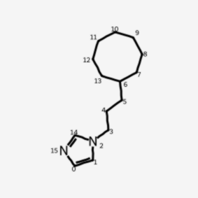 c1cn(CCCC2CCCCCCC2)cn1